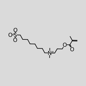 C=C(C)C(=O)OCCC[N+](C)(C)CCCCCCCCS(=O)(=O)[O-]